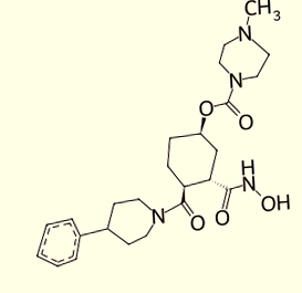 CN1CCN(C(=O)O[C@@H]2CC[C@H](C(=O)N3CCC(c4ccccc4)CC3)[C@@H](C(=O)NO)C2)CC1